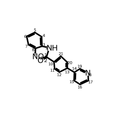 O=C(Nc1ccccc1[N+](=O)[O-])c1ccc(-c2cccnc2)cc1